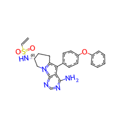 C=CS(=O)(=O)N[C@@H]1CCc2c(-c3ccc(Oc4ccccc4)cc3)c3c(N)ncnc3n2C1